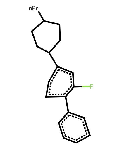 CCCC1CCC(c2ccc(-c3ccccc3)c(F)c2)CC1